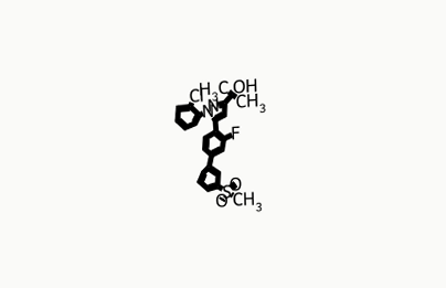 CC(C)(O)c1cc(-c2ccc(-c3cccc(S(C)(=O)=O)c3)cc2F)n(-c2ccccc2Cl)n1